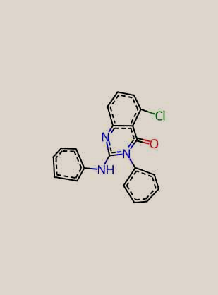 O=c1c2c(Cl)cccc2nc(Nc2ccccc2)n1-c1ccccc1